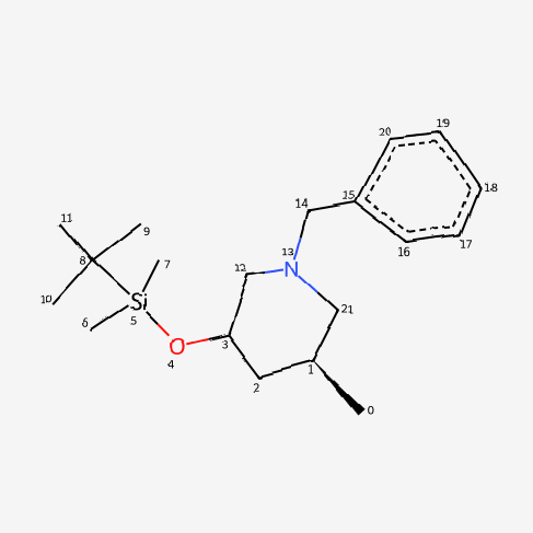 C[C@H]1CC(O[Si](C)(C)C(C)(C)C)CN(Cc2ccccc2)C1